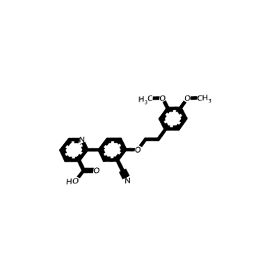 COc1ccc(CCOc2ccc(-c3ncccc3C(=O)O)cc2C#N)cc1OC